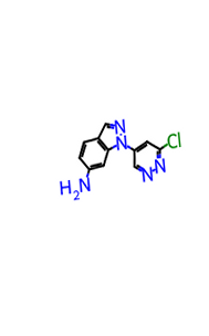 Nc1ccc2cnn(-c3cnnc(Cl)c3)c2c1